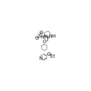 CCOc1ccncc1[C@H]1CC[C@@H](OC[C@@H]2NCCC[C@@H]2NS(C)(=O)=O)CC1